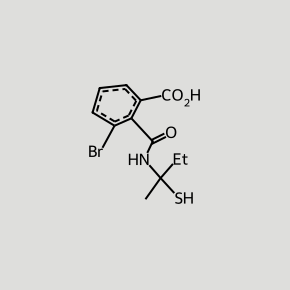 CCC(C)(S)NC(=O)c1c(Br)cccc1C(=O)O